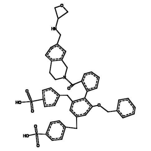 O=C(c1ccccc1-c1c(Cc2ccc(S(=O)(=O)O)cc2)cc(Cc2ccc(S(=O)(=O)O)cc2)cc1OCc1ccccc1)N1CCc2ccc(CNC3COC3)cc2C1